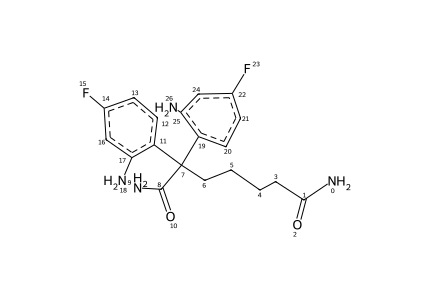 NC(=O)CCCCC(C(N)=O)(c1ccc(F)cc1N)c1ccc(F)cc1N